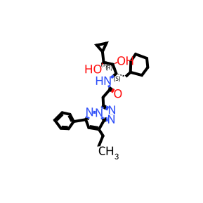 CCCc1cc(-c2ccccc2)nn2c(CC(=O)N[C@@H](CC3CCCCC3)[C@@H](O)[C@@H](O)C3CC3)nnc12